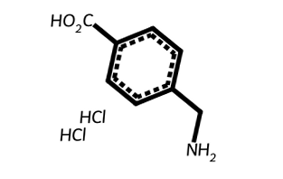 Cl.Cl.NCc1ccc(C(=O)O)cc1